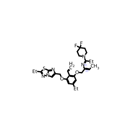 C=Cc1c(OCC(=C/C)/N=C(\CC)N2CCC(F)(F)CC2)cc(CC)cc1OCc1cn2nc(CC)sc2n1